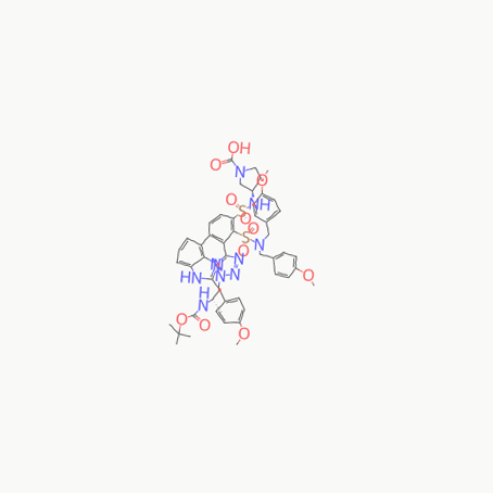 COc1ccc(CN(Cc2ccc(OC)cc2)S(=O)(=O)c2c(S(=O)(=O)N[C@@H]3CCN(C(=O)O)C3)ccc(-c3cccc4[nH]c(C[C@H](C)NC(=O)OC(C)(C)C)nc34)c2-c2nnn(Cc3ccc(OC)cc3)n2)cc1